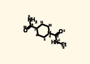 CCNC(=O)N1CCC(C(N)=O)CC1